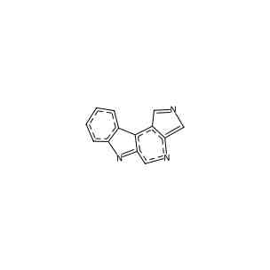 C1=NC=c2ncc3c(c21)-c1ccccc1N=3